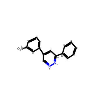 O=[N+]([O-])c1cccc(-c2cnnc(-c3ccccc3)c2)c1